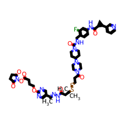 C/C(=N\NC(=O)CC(C)(C)SSCCC(=O)N1CCN(C2CCN(C(=O)NCc3ccc(NC(=O)C4CC4c4cccnc4)cc3F)CC2)CC1)c1cnc(OCCCC(=O)ON2C(=O)CCC2=O)nc1